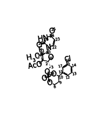 CC(=O)O[C@@H]1[C@@H](COP2(=O)OCCC(c3cccc(Cl)c3)O2)O[C@@H](n2ccc(=O)[nH]c2=O)[C@]1(C)F